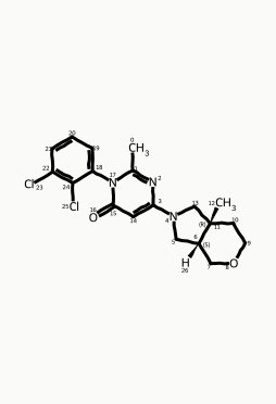 Cc1nc(N2C[C@H]3COCC[C@@]3(C)C2)cc(=O)n1-c1cccc(Cl)c1Cl